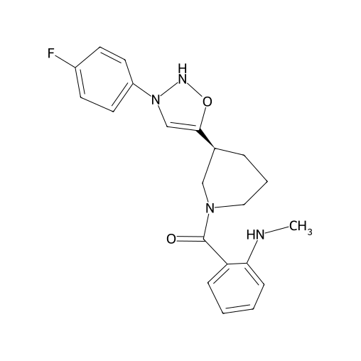 CNc1ccccc1C(=O)N1CCC[C@H](C2=CN(c3ccc(F)cc3)NO2)C1